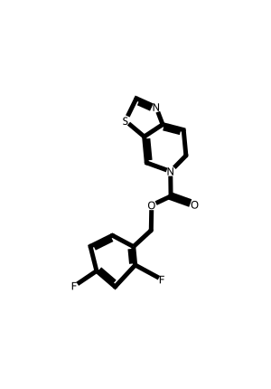 O=C(OCc1ccc(F)cc1F)N1C=c2scnc2=CC1